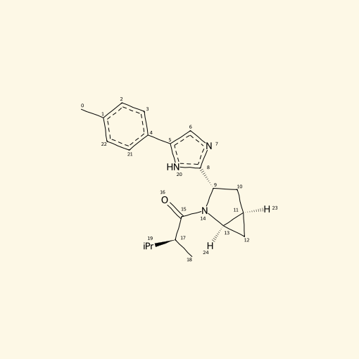 Cc1ccc(-c2cnc([C@@H]3C[C@H]4C[C@H]4N3C(=O)[C@@H](C)C(C)C)[nH]2)cc1